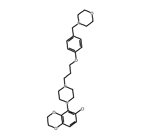 Clc1ccc2c(c1N1CCN(CCCOc3ccc(CN4CCOCC4)cc3)CC1)OCCO2